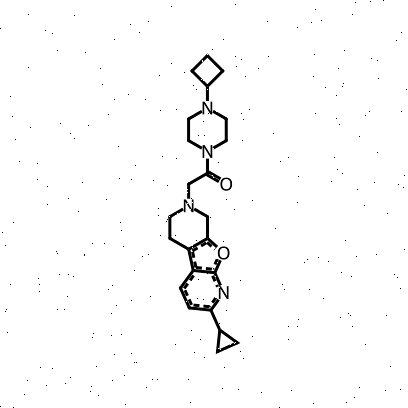 O=C(CN1CCc2c(oc3nc(C4CC4)ccc23)C1)N1CCN(C2CCC2)CC1